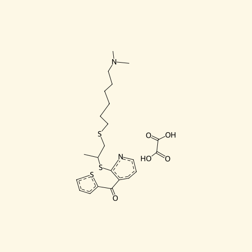 CC(CSCCCCCCN(C)C)Sc1ncccc1C(=O)c1cccs1.O=C(O)C(=O)O